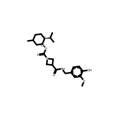 COc1cc(CNC(=O)C2CN(C(=O)O[C@H]3CC(C)CC[C@H]3C(C)C)C2)ccc1O